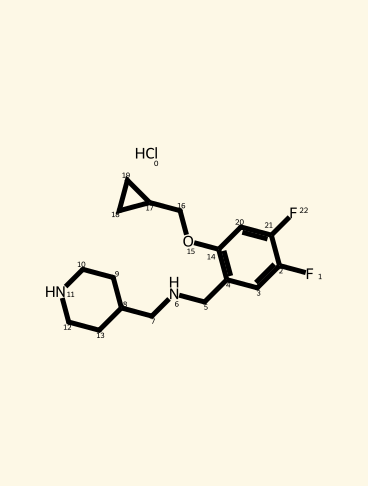 Cl.Fc1cc(CNCC2CCNCC2)c(OCC2CC2)cc1F